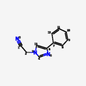 N#CCn1cnc(-c2ccccc2)c1